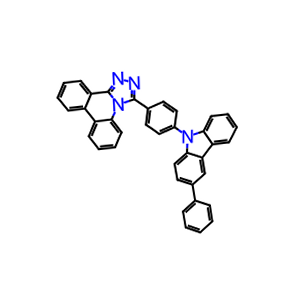 c1ccc(-c2ccc3c(c2)c2ccccc2n3-c2ccc(-c3nnc4c5ccccc5c5ccccc5n34)cc2)cc1